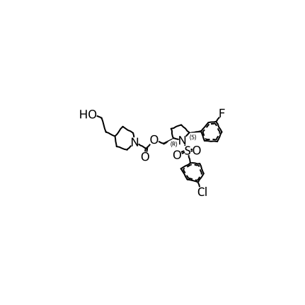 O=C(OC[C@H]1CC[C@@H](c2cccc(F)c2)N1S(=O)(=O)c1ccc(Cl)cc1)N1CCC(CCO)CC1